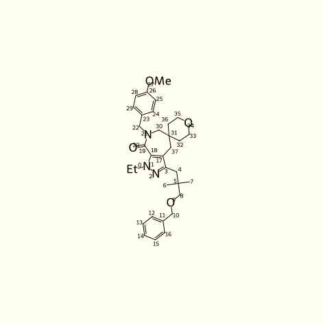 CCn1nc(CC(C)(C)COCc2ccccc2)c2c1C(=O)N(Cc1ccc(OC)cc1)CC1(CCOCC1)C2